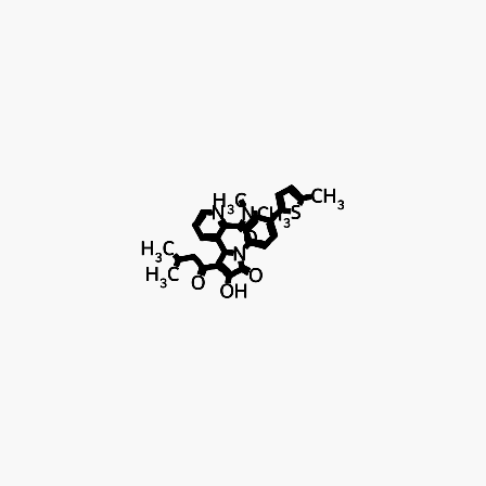 Cc1ccc(-c2ccc(N3C(=O)C(O)=C(C(=O)CC(C)C)C3c3cccnc3C(=O)N(C)C)cc2)s1